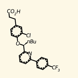 CCCC[C@H](Oc1ccc(CCC(=O)O)cc1Cl)c1cccc(-c2ccc(C(F)(F)F)cc2)n1